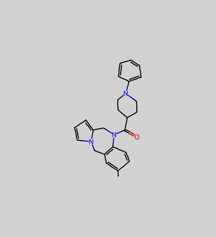 Cc1ccc2c(c1)Cn1cccc1CN2C(=O)C1CCN(c2ccccc2)CC1